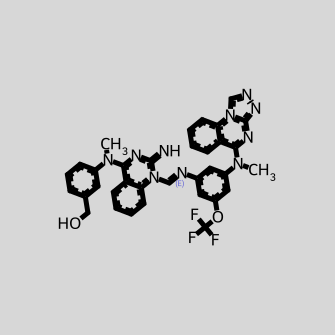 CN(c1cccc(CO)c1)c1nc(=N)n(/C=N/c2cc(OC(F)(F)F)cc(N(C)c3nc4nncn4c4ccccc34)c2)c2ccccc12